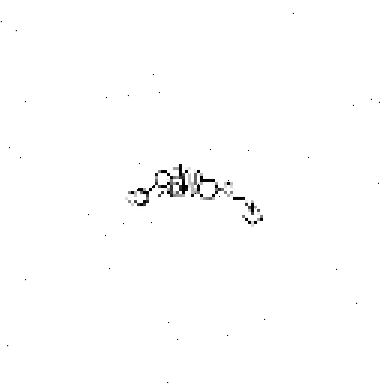 C[C@]12CCC(OCCN3CCCC3)C=C1CC[C@@H]1[C@H]2CC[C@]2(C)C(c3ccoc3)CC[C@@]12O